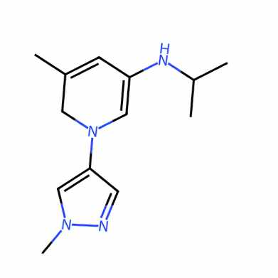 CC1=CC(NC(C)C)=CN(c2cnn(C)c2)C1